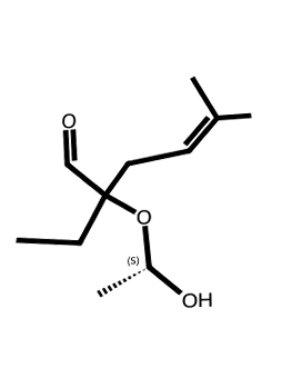 CCC(C=O)(CC=C(C)C)O[C@@H](C)O